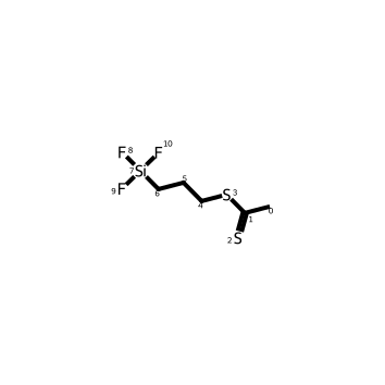 CC(=S)SCCC[Si](F)(F)F